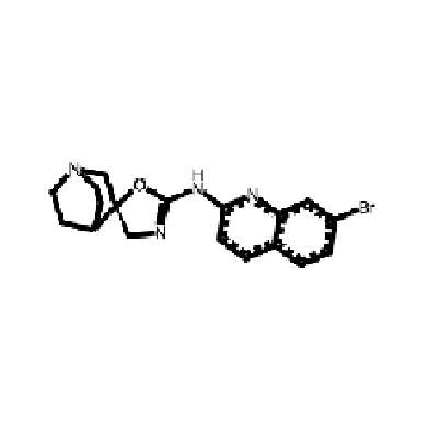 Brc1ccc2ccc(NC3=NC[C@@]4(CN5CCC4CC5)O3)nc2c1